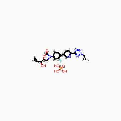 CCn1nnc(-c2ccc(-c3ccc(N4C[C@@H](C(O)C5CC5)OC4=O)cc3F)cn2)n1.O=P(O)(O)O